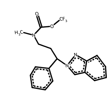 CN(CCC(c1ccccc1)n1cc2ccccc2n1)C(=O)OC(F)(F)F